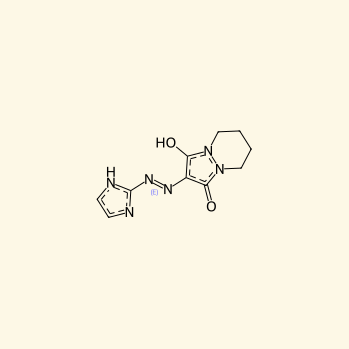 O=c1c(/N=N/c2ncc[nH]2)c(O)n2n1CCCC2